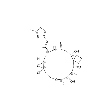 Cc1nc(C=C(F)[C@@H]2C[C@@H]3O[C@]3(Cl)CCO[C@@H](C)[C@@H](O)[C@@H](C)C(=O)C3(CCC3)[C@@H](O)CC(=O)N2)cs1